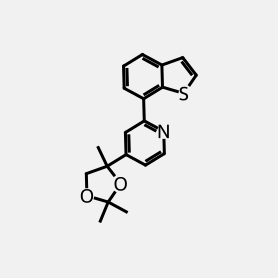 CC1(C)OCC(C)(c2ccnc(-c3cccc4ccsc34)c2)O1